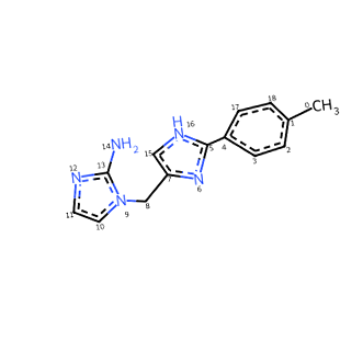 Cc1ccc(-c2nc(Cn3ccnc3N)c[nH]2)cc1